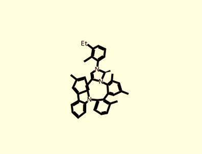 CCc1cccc(N2C=c3c4cc(C)cc5c6ccccc6n(c6cccc(C)c6c6cc(C)cc(C)c6n3[C@@H]2C)c45)c1C